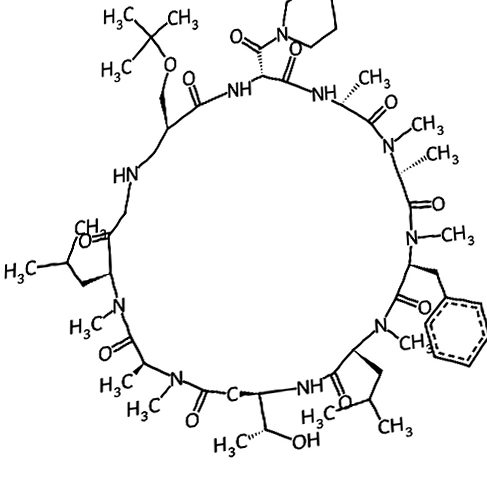 CC(C)C[C@H]1C(=O)CNC[C@@H](COC(C)(C)C)C(=O)N[C@H](C(=O)N2CCCCC2)C(=O)N[C@H](C)C(=O)N(C)[C@H](C)C(=O)N(C)[C@@H](Cc2ccccc2)C(=O)N(C)[C@@H](CC(C)C)C(=O)N[C@@H]([C@@H](C)O)CC(=O)N(C)[C@@H](C)C(=O)N1C